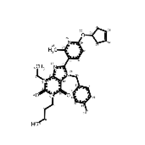 CCn1c(=O)n(CCCO)c(=O)c2c1nc(-c1ccc(OC3CC=CC3)nc1C)n2Cc1ccc(F)cc1